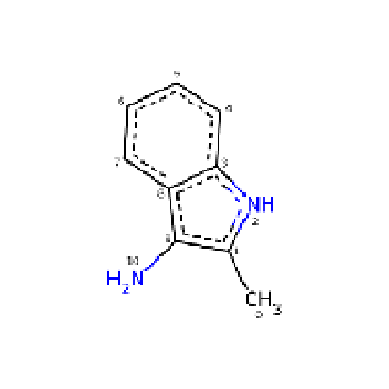 Cc1[nH]c2ccccc2c1N